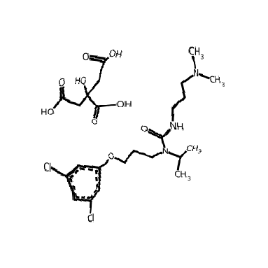 CC(C)N(CCCOc1cc(Cl)cc(Cl)c1)C(=O)NCCCN(C)C.O=C(O)CC(O)(CC(=O)O)C(=O)O